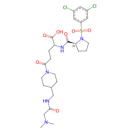 CN(C)CC(=O)NCC1CCN(C(=O)CCC(NC(=O)[C@@H]2CCCN2S(=O)(=O)c2cc(Cl)cc(Cl)c2)C(=O)O)CC1